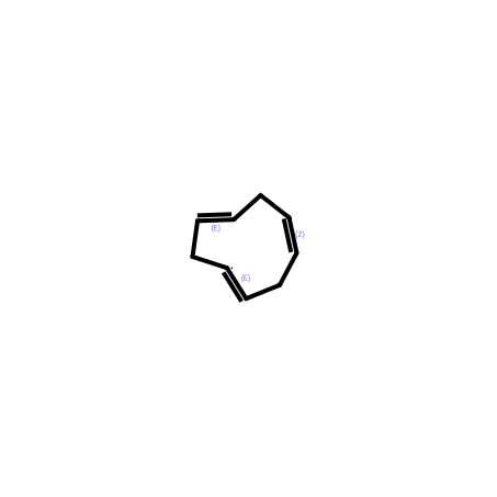 [C]1=C/C/C=C\C/C=C/C/1